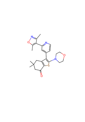 Cc1noc(C)c1-c1cc(-c2c(N3CCOCC3)sc3c2CC(C)(C)CC3=O)ccn1